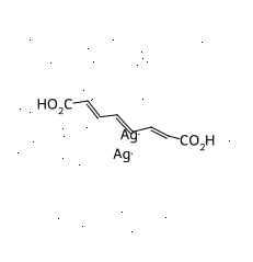 O=C(O)C=CC=CC=CC(=O)O.[Ag].[Ag]